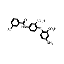 CC(=O)c1cccc(C(=O)Nc2ccc(Oc3ccc(N)cc3S(=O)(=O)O)c(S(=O)(=O)O)c2)c1